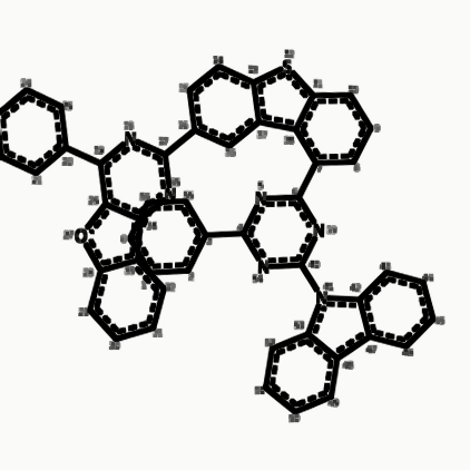 c1ccc(-c2nc(-c3cccc4sc5ccc(-c6nc(-c7ccccc7)c7oc8ccccc8c7n6)cc5c34)nc(-n3c4ccccc4c4ccccc43)n2)cc1